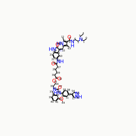 CCN(CC)CCNC(=O)c1c(C)[nH]c(/C=C2\C(=O)Nc3ccc(NC(=O)CCCCC(=O)OCCN(Cc4cccc(OC)c4)C(=O)Nc4ccc(-c5cn[nH]c5)cc4)cc32)c1C